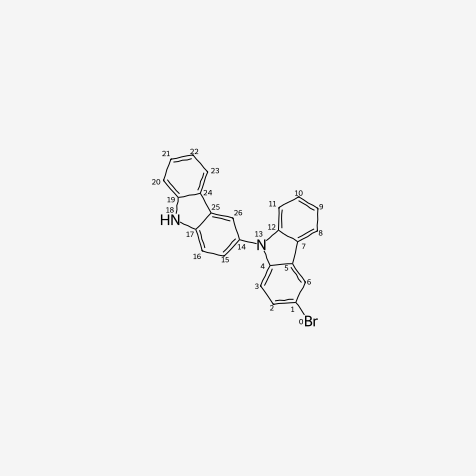 Brc1ccc2c(c1)c1ccccc1n2-c1ccc2[nH]c3ccccc3c2c1